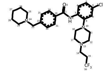 O=C(Nc1ccc(Cl)cc1N1CCN(CCC(F)(F)F)CC1)c1ccc(CN2CCCCC2)cc1